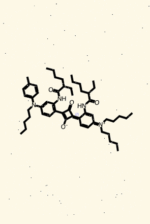 CCCCCN(c1ccc(C)cc1)c1ccc(C2=C([O-])/C(=C3\C=CC(=[N+](CCCCC)CCCCC)C=C3NC(=O)C(CC)CCCC)C2=O)c(NC(=O)C(CC)CCCC)c1